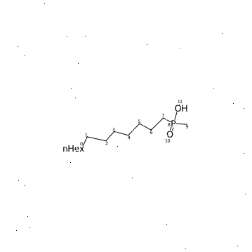 CCCCCCCCCCCCCP(C)(=O)O